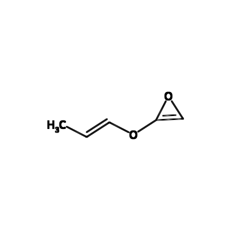 CC=COC1=CO1